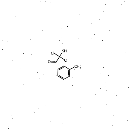 Cc1ccccc1.O=CC(S)(Cl)Cl